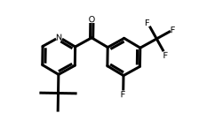 CC(C)(C)c1ccnc(C(=O)c2cc(F)cc(C(F)(F)F)c2)c1